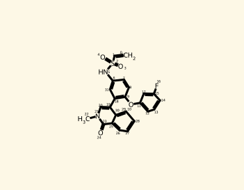 C=CS(=O)(=O)Nc1ccc(Oc2cccc(F)c2)c(-c2cn(C)c(=O)c3ccccc23)c1